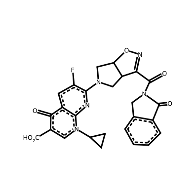 O=C(O)c1cn(C2CC2)c2nc(N3CC4ON=C(C(=O)N5Cc6ccccc6C5=O)C4C3)c(F)cc2c1=O